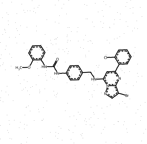 COc1ccccc1NC(=O)Nc1ccc(CNc2cc(-c3ccccc3Cl)nc3c(Br)cnn23)cc1